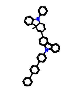 CC12C=C(c3ccc4c(c3)c3ccccc3n4-c3ccc(-c4ccc(-c5ccccc5)cc4)cc3)C=CC1N(c1ccccc1)c1ccccc12